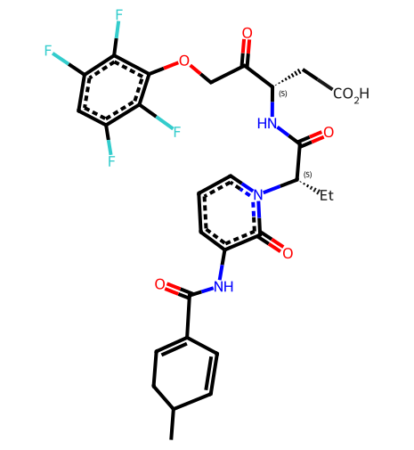 CC[C@@H](C(=O)N[C@@H](CC(=O)O)C(=O)COc1c(F)c(F)cc(F)c1F)n1cccc(NC(=O)C2=CCC(C)C=C2)c1=O